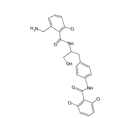 NCc1cccc(Cl)c1C(=O)NC(CO)Cc1ccc(NC(=O)c2c(Cl)cccc2Cl)cc1